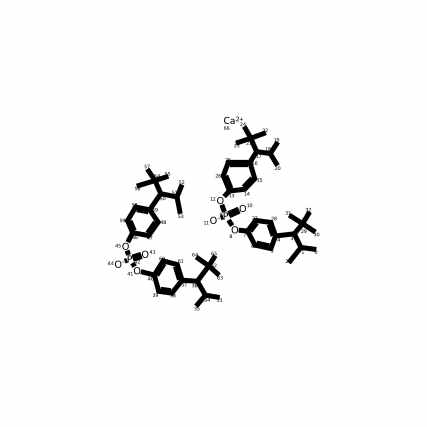 CC(C)C(c1ccc(OP(=O)([O-])Oc2ccc(C(C(C)C)C(C)(C)C)cc2)cc1)C(C)(C)C.CC(C)C(c1ccc(OP(=O)([O-])Oc2ccc(C(C(C)C)C(C)(C)C)cc2)cc1)C(C)(C)C.[Ca+2]